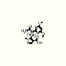 COc1cc(OC)nc(N(C(N)=O)S(=O)(=O)c2c(C(=O)O)cnn2C)n1